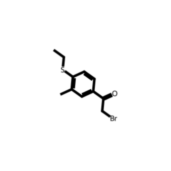 CCSc1ccc(C(=O)CBr)cc1C